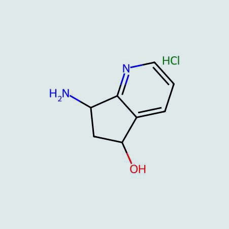 Cl.NC1CC(O)c2cccnc21